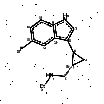 CCNC[C@H]1CC1c1c[nH]c2ccc(F)cc12